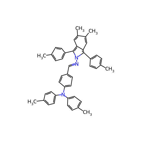 Cc1ccc(-c2c3cc(C)c(C)cc3c(-c3ccc(C)cc3)n2N=Cc2ccc(N(c3ccc(C)cc3)c3ccc(C)cc3)cc2)cc1